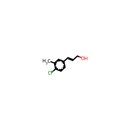 Cc1cc(C=CCO)ccc1Cl